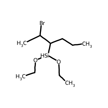 CCCC(C(C)Br)[SiH](OCC)OCC